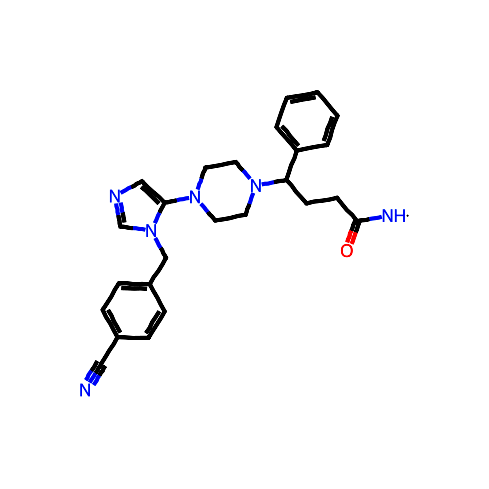 N#Cc1ccc(Cn2cncc2N2CCN(C(CCC([NH])=O)c3ccccc3)CC2)cc1